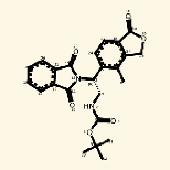 Cc1c([C@H](CNC(=O)OC(C)(C)C)N2C(=O)c3ccccc3C2=O)ccc2c1COC2=O